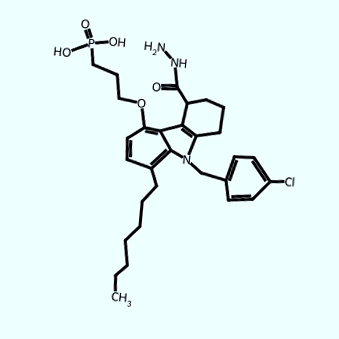 CCCCCCCc1ccc(OCCCP(=O)(O)O)c2c3c(n(Cc4ccc(Cl)cc4)c12)CCCC3C(=O)NN